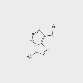 Cn1ccc2c(CO)cncc21